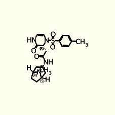 Cc1ccc(S(=O)(=O)N2C=CNC(=O)[C@H]2CC(=O)N[C@H]2C[C@H]3CC[C@@H](C2)N3C)cc1